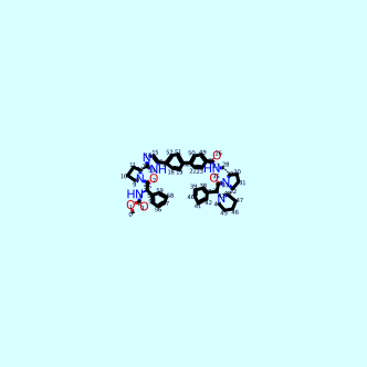 COC(=O)N[C@@H](C(=O)N1CCC[C@H]1c1ncc(-c2ccc(-c3ccc(C(=O)NC[C@@H]4CCCN4C(=O)[C@@H](c4ccccc4)N4CCCCC4)cc3)cc2)[nH]1)c1ccccc1